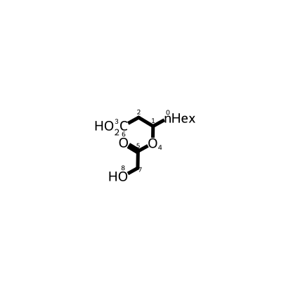 CCCCCCC(CC(=O)O)OC(=O)CO